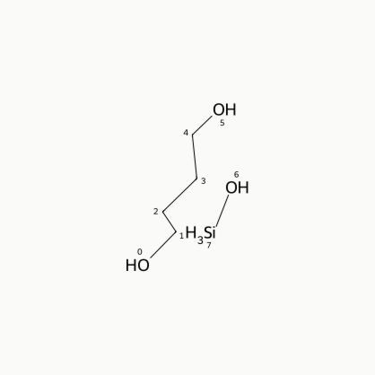 OCCCCO.O[SiH3]